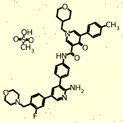 CS(=O)(=O)O.Cc1ccc(-c2cn(CC3CCOCC3)cc(C(=O)Nc3ccc(-c4cc(-c5ccc(CN6CCOCC6)c(F)c5)cnc4N)cc3)c2=O)cc1